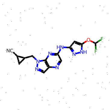 N#CC1CC1Cn1ncc2ncc(Nc3cc(OC(F)F)[nH]n3)nc21